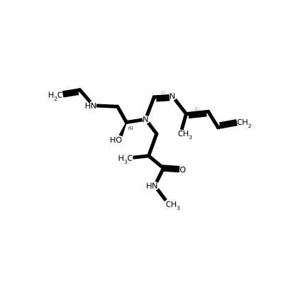 C=C/C=C(C)/N=C\N(CC(C)C(=O)NC)[C@@H](O)CNC=C